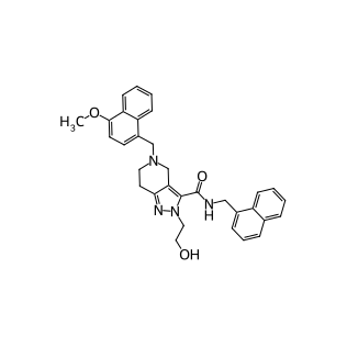 COc1ccc(CN2CCc3nn(CCO)c(C(=O)NCc4cccc5ccccc45)c3C2)c2ccccc12